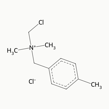 Cc1ccc(C[N+](C)(C)CCl)cc1.[Cl-]